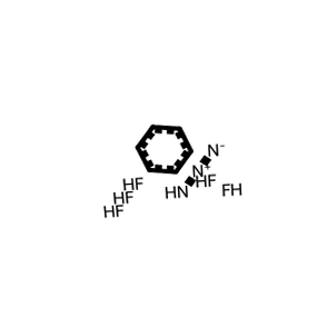 F.F.F.F.F.[N-]=[N+]=N.c1ccccc1